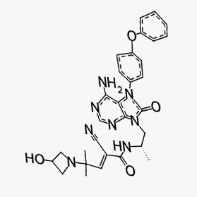 C[C@@H](Cn1c(=O)n(-c2ccc(Oc3ccccc3)cc2)c2c(N)ncnc21)NC(=O)/C(C#N)=C/C(C)(C)N1CC(O)C1